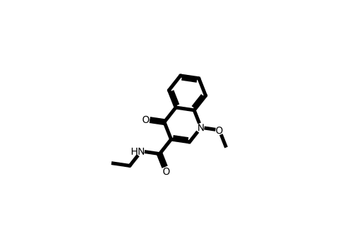 CCNC(=O)c1cn(OC)c2ccccc2c1=O